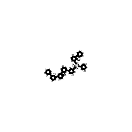 c1ccc(-c2cccc(-c3ccc4sc5c(-c6cccc(-c7nc(-c8ccccc8)nc(-c8cccc9c8oc8ccccc89)n7)c6)cccc5c4c3)c2)cc1